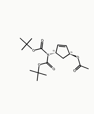 CC(=O)O[C@@H]1C=C[C@@H](N(C(=O)OC(C)(C)C)C(=O)OC(C)(C)C)C1